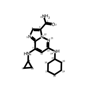 NC(=O)c1cnc2c(NC3CC3)cc(NC3CCCCC3)nn12